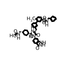 Cc1ccc(S(=O)(=O)NCc2ccccc2)cc1-c1cccc(C[C@H](NC(=O)[C@H]2CC[C@H](CNC(=O)O)CC2)C(=O)Nc2ccc3c(=O)[nH][nH]c3c2)c1